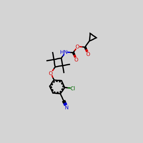 CC1(C)C(NC(=O)OC(=O)C2CC2)C(C)(C)C1Oc1ccc(C#N)c(Cl)c1